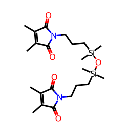 CC1=C(C)C(=O)N(CCC[Si](C)(C)O[Si](C)(C)CCCN2C(=O)C(C)=C(C)C2=O)C1=O